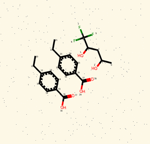 CC(O)CC(O)C(F)(F)F.CCc1ccc(C(=O)O)cc1.CCc1ccc(C(=O)O)cc1